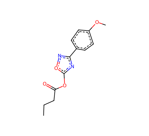 CCCC(=O)Oc1nc(-c2ccc(OC)cc2)no1